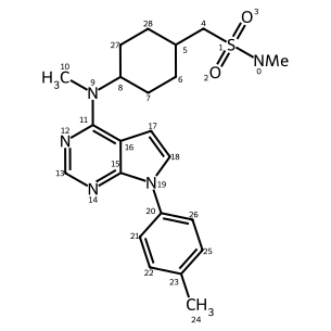 CNS(=O)(=O)CC1CCC(N(C)c2ncnc3c2ccn3-c2ccc(C)cc2)CC1